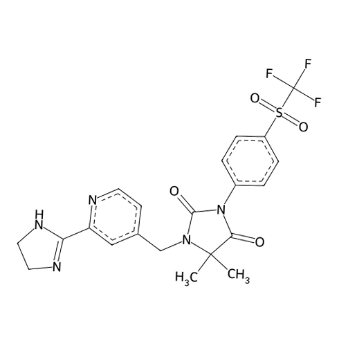 CC1(C)C(=O)N(c2ccc(S(=O)(=O)C(F)(F)F)cc2)C(=O)N1Cc1ccnc(C2=NCCN2)c1